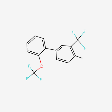 Cc1ccc(-c2ccccc2OC(F)(F)F)cc1C(F)(F)F